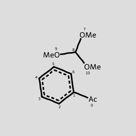 CC(=O)c1ccccc1.COC(OC)OC